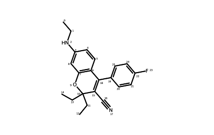 CCNc1ccc2c(c1)OC(CC)(CC)C(C#N)=C2c1ccc(F)cc1